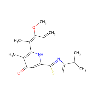 C=C/C(OC)=C(/C)c1[nH]c(-c2nc(C(C)C)cs2)cc(=O)c1C